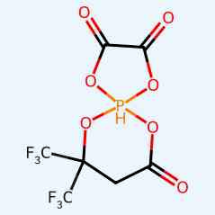 O=C1CC(C(F)(F)F)(C(F)(F)F)O[PH]2(O1)OC(=O)C(=O)O2